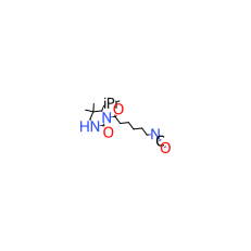 CC(C)C1N(C(=O)CCCCCN=C=O)C(=O)NCC1(C)C